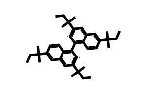 CCC(C)(C)c1[c]c(-c2[c]c(C(C)(C)CC)cc3cc(C(C)(C)CC)ccc23)c2ccc(C(C)(C)CC)cc2c1